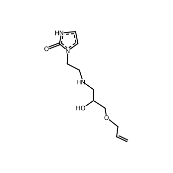 C=CCOCC(O)CNCCn1cc[nH]c1=O